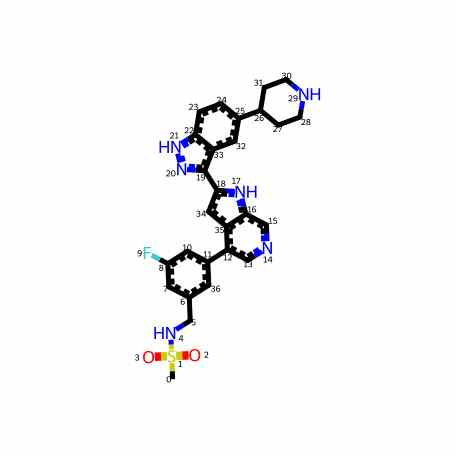 CS(=O)(=O)NCc1cc(F)cc(-c2cncc3[nH]c(-c4n[nH]c5ccc(C6CCNCC6)cc45)cc23)c1